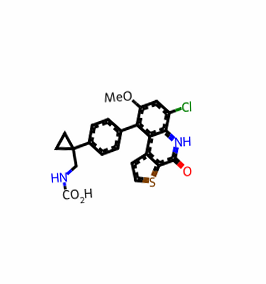 COc1cc(Cl)c2[nH]c(=O)c3sccc3c2c1-c1ccc(C2(CNC(=O)O)CC2)cc1